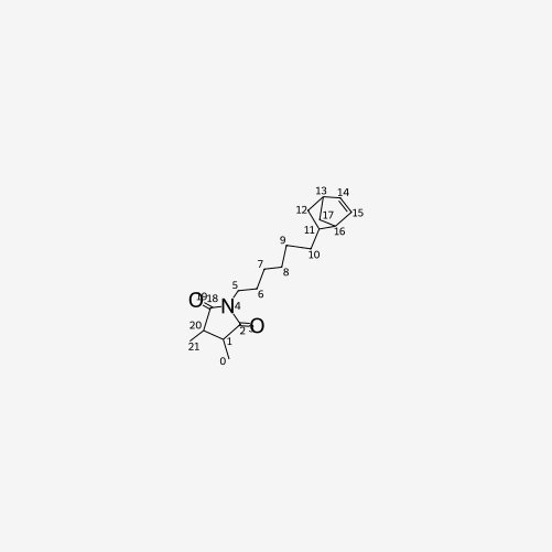 CC1C(=O)N(CCCCCCC2CC3C=CC2C3)C(=O)C1C